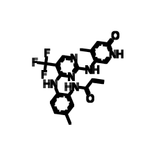 C=CC(=O)Nc1cc(C)ccc1Nc1nc(Nc2c[nH]c(=O)cc2C)ncc1C(F)(F)F